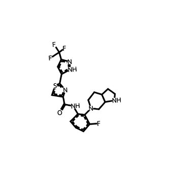 O=C(Nc1cccc(F)c1N1CCC2CCNC2C1)c1csc(-c2cc(C(F)(F)F)n[nH]2)n1